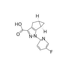 O=C(O)c1nn(-c2ccc(F)cn2)c2c1C[C@H]1C[C@@H]21